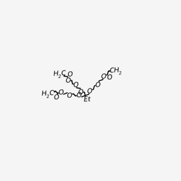 C=CC(=O)OCCOCCOCC(CC)(COCCOCCOC(=O)C=C)COCCOCCOC(=O)C=C